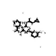 CC(=CC1CC1)Nc1nc(NC(C)c2ccccn2)nc(-c2cccc(C(F)(F)F)n2)n1